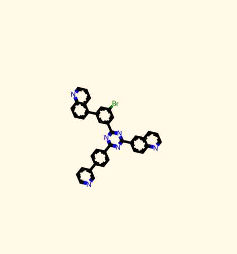 Brc1cc(-c2nc(-c3ccc(-c4cccnc4)cc3)nc(-c3ccc4ncccc4c3)n2)cc(-c2cccc3ncccc23)c1